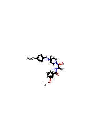 COc1ccc(CNC2(C)CCN(C(=O)C(NC(=O)c3cccc(OC(F)(F)F)c3)C(C)C)CC2)cc1